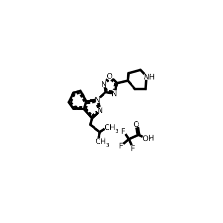 CC(C)Cc1nn(-c2noc(C3CCNCC3)n2)c2ccccc12.O=C(O)C(F)(F)F